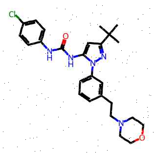 CC(C)(C)c1cc(NC(=O)Nc2ccc(Cl)cc2)n(-c2cccc(CCN3CCOCC3)c2)n1